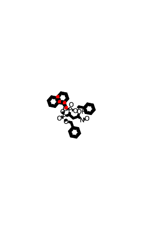 O=NC(O)CC(P(=O)(OCc1ccccc1)OCc1ccccc1)P(=O)(OCc1ccccc1)OCc1ccccc1